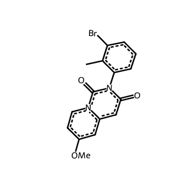 COc1ccn2c(=O)n(-c3cccc(Br)c3C)c(=O)cc2c1